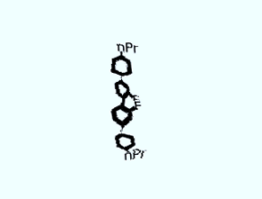 CCC[C@H]1CC[C@H](c2ccc(-c3ccc([C@H]4CC[C@H](CCC)CC4)cc3F)c(F)c2)CC1